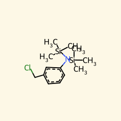 C[Si](C)(C)N(c1cccc(CCl)c1)[Si](C)(C)C